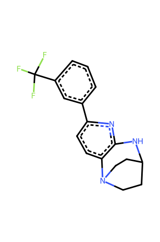 FC(F)(F)c1cccc(-c2ccc3c(n2)NC2CCN3CC2)c1